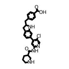 O=C(O)c1ccc(CC2Cc3ccc(-c4cc(NC(=O)C5CCCNC5)ncc4Cl)cc3N2)cc1